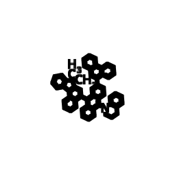 CC1(C)c2ccccc2-c2c1cc(-c1c3ccccc3c(N3CCCc4ccccc43)c3ccc(-c4cc5ccccc5c5ccccc45)cc13)c1ccccc21